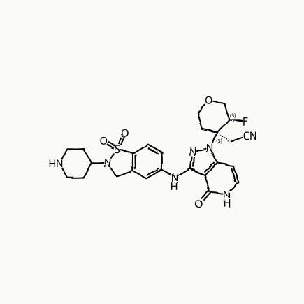 N#CC[C@]1(n2nc(Nc3ccc4c(c3)CN(C3CCNCC3)S4(=O)=O)c3c(=O)[nH]ccc32)CCOC[C@H]1F